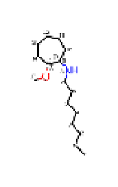 CCCCCCCCN[C@@H]1CCCCC[C@H]1OC